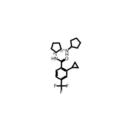 O=C(N[C@@H]1CCC[C@@H]1NC1CCCC1)c1ccc(C(F)(F)F)cc1C1CC1